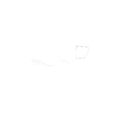 [CH2]C#CCOCC1CCO1